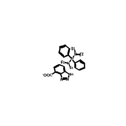 CCN(CC)[P+](c1ccccc1)(c1ccccc1)N(CC)CC.O=C([O-])c1cccc2[nH]nnc12